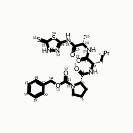 CC(C)C[C@H](NC(=O)[C@@H]1CCCN1C(=O)OCc1ccccc1)C(=O)N[C@@H](C)C(=O)Nc1n[nH]c(=S)s1